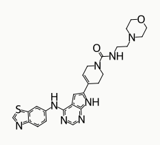 O=C(NCCN1CCOCC1)N1CC=C(c2cc3c(Nc4ccc5ncsc5c4)ncnc3[nH]2)CC1